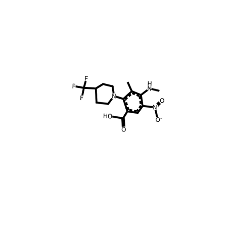 CNc1c([N+](=O)[O-])cc(C(=O)O)c(N2CCC(C(F)(F)F)CC2)c1C